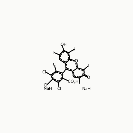 O=C(O)c1c(Cl)c(Cl)c(Cl)c(Cl)c1-c1c2cc(I)c(=O)c(I)c-2oc2c(I)c(O)c(I)cc12.[NaH].[NaH]